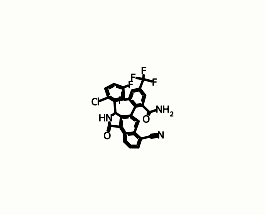 N#Cc1cccc2c3c(c(-c4c(F)cc(C(F)(F)F)cc4C(N)=O)cc12)C(c1cc(F)ccc1Cl)NC3=O